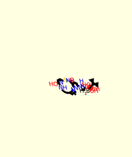 BC(O)(OC1C=CN(c2ccc3c(n2)N2CC(CCCNc4nc(ccc4O)SNC3=O)CC2(C)C)N1)C(O)(O)C1C2(CC2)C12CC2